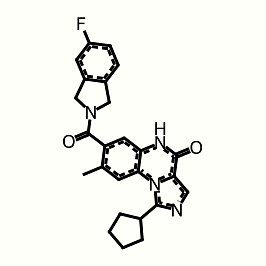 Cc1cc2c(cc1C(=O)N1Cc3ccc(F)cc3C1)[nH]c(=O)c1cnc(C3CCCC3)n12